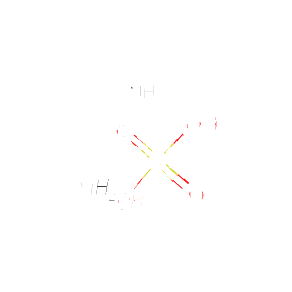 O=S(=O)(O)O.[AlH3].[SiH4]